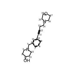 OC1CCN(Cc2cccc(C#CCCN3CCOCC3)c2)CC1